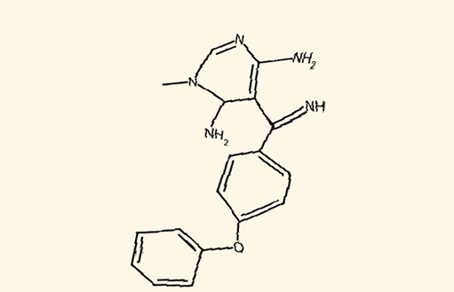 CN1C=NC(N)=C(C(=N)c2ccc(Oc3ccccc3)cc2)C1N